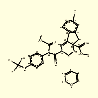 C1=CONN=C1.COC(=O)N(C(=O)N1CO[C@@]2(C(=O)OC)Cc3cc(Cl)ccc3C2=N1)c1ccc(OC(F)(F)F)cc1